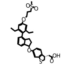 CCc1cc(OCCCS(C)(=O)=O)cc(CC)c1-c1cccc2c1CCC2Oc1ccc2c(c1)SC[C@H]2CC(=O)O